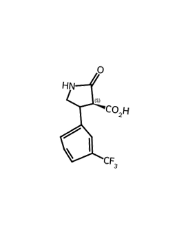 O=C(O)[C@@H]1C(=O)NCC1c1cccc(C(F)(F)F)c1